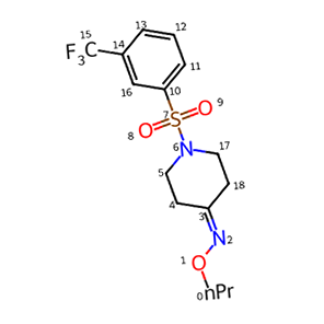 CCCON=C1CCN(S(=O)(=O)c2cccc(C(F)(F)F)c2)CC1